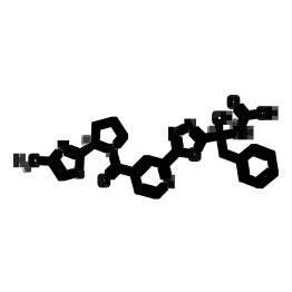 Cc1csc([C@H]2CCCN2C(=O)c2ccnc(-c3nnc([C@@](C)(Cc4ccccc4)NC(=O)O)o3)c2)n1